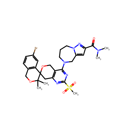 CN(C)C(=O)c1cc2n(n1)CCCN(c1nc(S(C)(=O)=O)nc3c1COC1(C3)c3cc(Br)ccc3COC1(C)C)C2